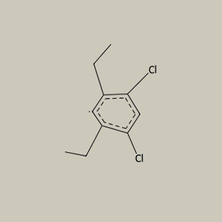 CCc1[c]c(CC)c(Cl)cc1Cl